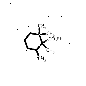 CCOC(=O)C1(C)C(C)CCCC1(C)C